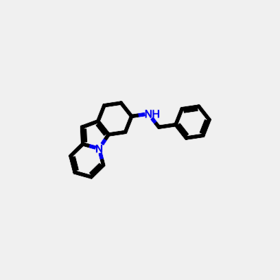 c1ccc(CNC2CCc3cc4ccccn4c3C2)cc1